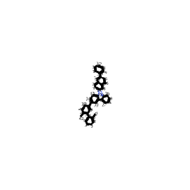 Cc1ccccc1-c1cc(-c2ccc3c(c2)c2ccccc2n3-c2ccc3cc(-c4ccccc4)ccc3c2)ccc1C